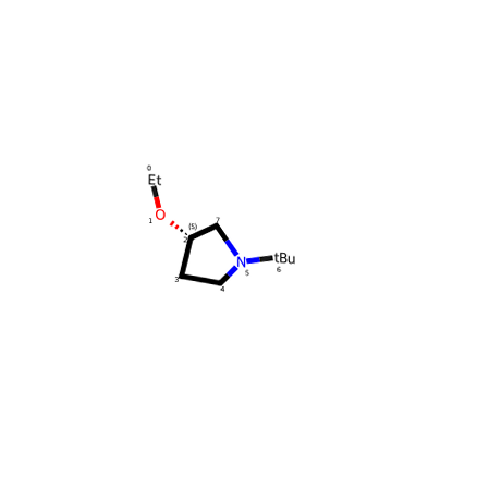 CCO[C@H]1CCN(C(C)(C)C)C1